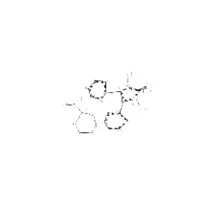 Cn1c(-c2ccccc2)c(-c2ccccc2)n(C)[c]1=[Pt].IN(I)C1CCCCC1